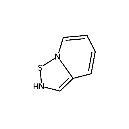 [C]1=C2C=CC=CN2SN1